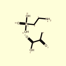 CC(=O)C(=O)O.NCCP(=O)(O)O